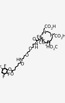 CCC(C(=O)O)(C(=O)NCCOCCOCCNC(=O)CCCCC(=O)Oc1c(F)c(F)cc(F)c1F)N1CCN(CC(=O)O)CCN(CC(=O)O)CCN(CC(=O)O)CC1